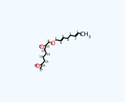 CC=CCCC=CCOCC1OC1CCCC1CO1